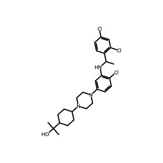 CC(Nc1cc(N2CCN(C3CCC(C(C)(C)O)CC3)CC2)ccc1Cl)c1ccc(Cl)cc1Cl